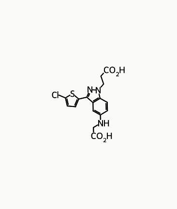 O=C(O)CCn1nc(-c2ccc(Cl)s2)c2cc(NCC(=O)O)ccc21